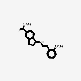 COC(=O)c1ccc2c(c1)CCC2NCCc1ccccc1OC